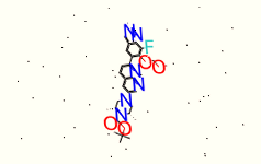 COCOc1c(-c2ccc3cc(N4C[C@@H](C)N(C(=O)OC(C)(C)C)[C@@H](C)C4)cnc3n2)cc2cn(C)nc2c1F